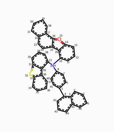 c1ccc2c(-c3ccc(N(c4cccc5oc6c7ccccc7ccc6c45)c4cccc5sc6ccccc6c45)cc3)cccc2c1